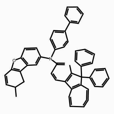 C=C(/C=C\C1=C(C)C(c2ccccc2)(c2ccccc2)C2=C1C=CC=C=C2)N(c1ccc(-c2ccccc2)cc1)c1ccc2oc3c(c2c1)CC(C)C=C3